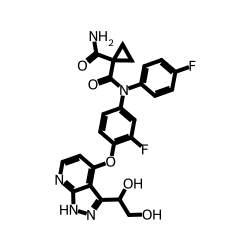 NC(=O)C1(C(=O)N(c2ccc(F)cc2)c2ccc(Oc3ccnc4[nH]nc(C(O)CO)c34)c(F)c2)CC1